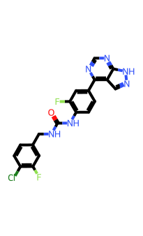 O=C(NCc1ccc(Cl)c(F)c1)Nc1ccc(-c2ncnc3[nH]ncc23)cc1F